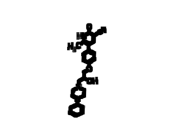 Cc1[nH]c(=O)c(C#N)cc1-c1ccc(OCC(O)CN2CCN(c3ccccc3)CC2)cc1